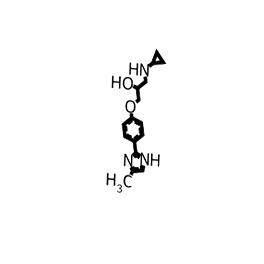 Cc1c[nH]c(-c2ccc(OCC(O)CNC3CC3)cc2)n1